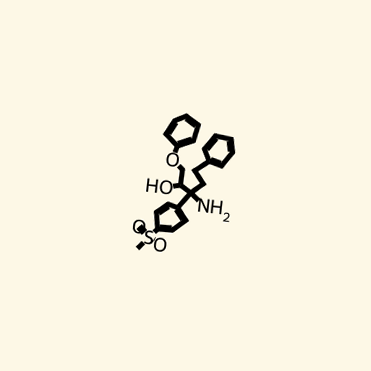 CS(=O)(=O)c1ccc(C(N)(CCc2ccccc2)C(O)COc2ccccc2)cc1